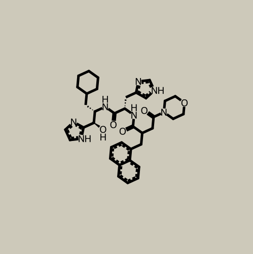 O=C(N[C@@H](Cc1c[nH]cn1)C(=O)N[C@@H](CC1CCCCC1)[C@@H](O)c1ncc[nH]1)C(CC(=O)N1CCOCC1)Cc1cccc2ccccc12